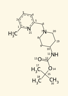 Cc1cccc(CN2CCC(NC(=O)OC(C)(C)C)CC2)n1